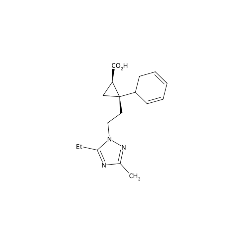 CCc1nc(C)nn1CC[C@@]1(C2C=CC=CC2)C[C@H]1C(=O)O